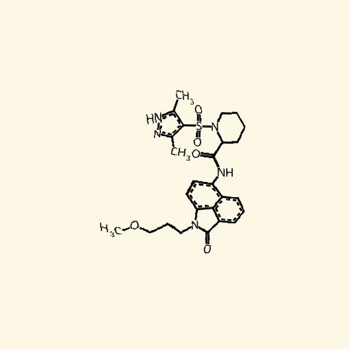 COCCCN1C(=O)c2cccc3c(NC(=O)C4CCCCN4S(=O)(=O)c4c(C)n[nH]c4C)ccc1c23